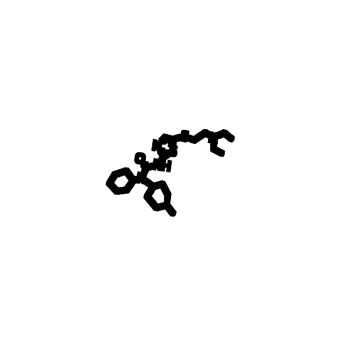 CCN(CC)CCSc1cnc(NC(=O)N(C2CCCCC2)C2CCC(C)CC2)s1